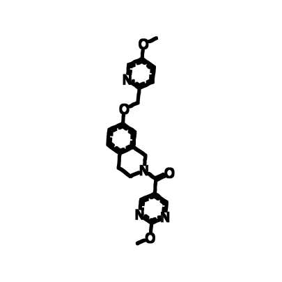 COc1ccc(COc2ccc3c(c2)CN(C(=O)c2cnc(OC)nc2)CC3)nc1